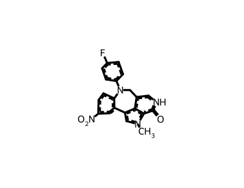 Cn1cc2c3c(c[nH]c(=O)c31)CN(c1ccc(F)cc1)c1ccc([N+](=O)[O-])cc1-2